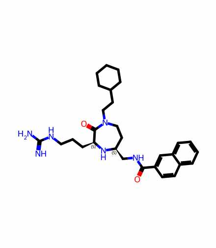 N=C(N)NCCC[C@@H]1N[C@H](CNC(=O)c2ccc3ccccc3c2)CCN(CCC2CCCCC2)C1=O